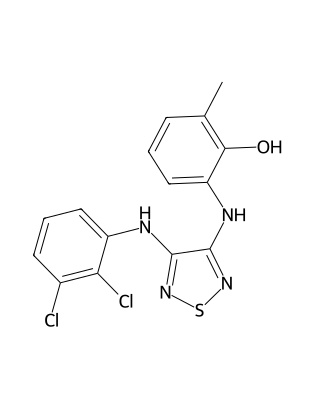 Cc1cccc(Nc2nsnc2Nc2cccc(Cl)c2Cl)c1O